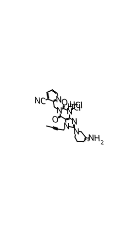 CC#CCn1c(N2CCC[C@@H](N)C2)nc2c1c(=O)n(Cc1ncccc1C#N)c(=O)n2C.Cl.Cl